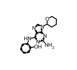 Nc1nc(Nc2ccccc2O)c2ncn(C3CCCCO3)c2n1